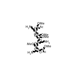 COCCN(CC(=O)N(CCCCN)CC(=O)N(CCOC)CC(=O)N(CCCCN)CC(=O)N(CCOC)CC(=O)N(CCOC)CC(=O)N(CCCCN)CC(=O)N(CCOC)CC(C)=O)C(C)=O